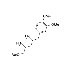 COCC(N)CC(N)Cc1ccc(OC)c(OC)c1